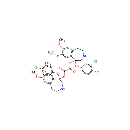 COc1cc2c(cc1OC)C(OC(=O)C(=O)OC1(Oc3ccc(Cl)c(Cl)c3)CNCCc3cc(OC)c(OC)cc31)(Oc1ccc(Cl)c(Cl)c1)CNCC2